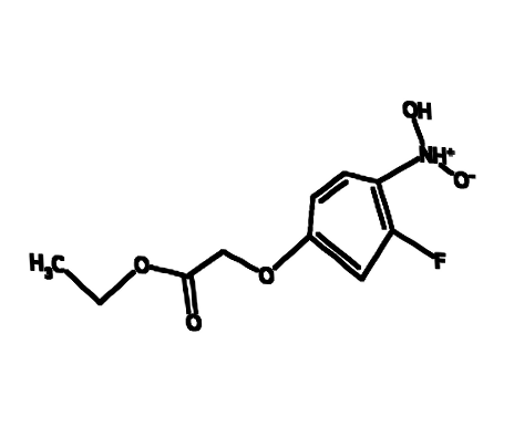 CCOC(=O)COc1ccc([NH+]([O-])O)c(F)c1